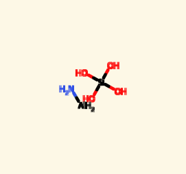 O[Si](O)(O)O.[NH2][AlH2]